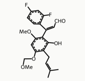 COCOc1cc(OC)c(/C(=C/C=O)c2ccc(F)cc2F)c(O)c1CC=C(C)C